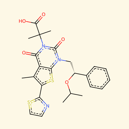 Cc1c(-c2nccs2)sc2c1c(=O)n(C(C)(C)C(=O)O)c(=O)n2C[C@@H](OC(C)C)c1ccccc1